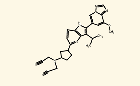 COc1cc(-c2[nH]c3ccc(C4CCC(N(CC#N)CC#N)C4)nc3c2C(C)C)cn2ncnc12